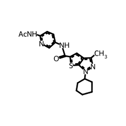 CC(=O)Nc1ccc(NC(=O)c2cc3c(C)nn(C4CCCCC4)c3s2)cn1